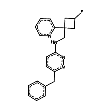 FC1CC(CNc2ccc(Cc3ccccc3)nn2)(c2ccccn2)C1